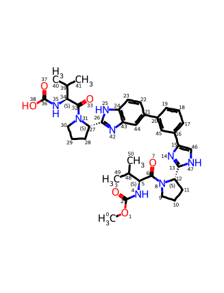 COC(=O)N[C@H](C(=O)N1CCC[C@H]1c1nc(-c2cccc(-c3ccc4[nH]c([C@@H]5CCCN5C(=O)[C@@H](NC(=O)O)C(C)C)nc4c3)c2)c[nH]1)C(C)C